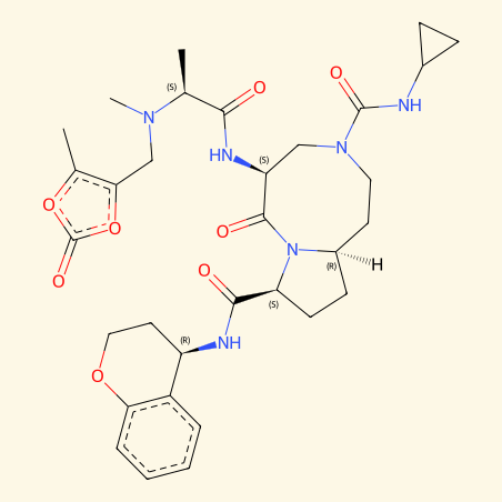 Cc1oc(=O)oc1CN(C)[C@@H](C)C(=O)N[C@H]1CN(C(=O)NC2CC2)CC[C@H]2CC[C@@H](C(=O)N[C@@H]3CCOc4ccccc43)N2C1=O